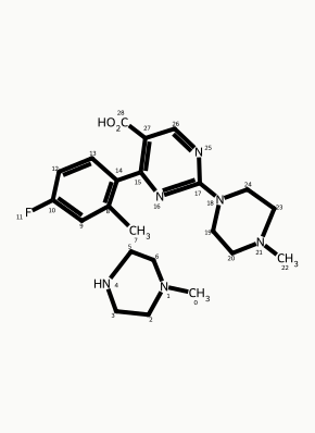 CN1CCNCC1.Cc1cc(F)ccc1-c1nc(N2CCN(C)CC2)ncc1C(=O)O